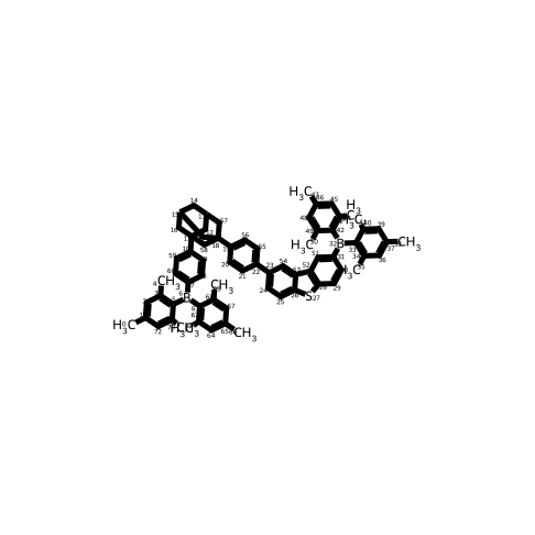 Cc1cc(C)c(B(c2ccc(C34CC5CC(C3)CC(c3ccc(-c6ccc7sc8ccc(B(c9c(C)cc(C)cc9C)c9c(C)cc(C)cc9C)cc8c7c6)cc3)(C5)C4)cc2)c2c(C)cc(C)cc2C)c(C)c1